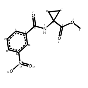 COC(=O)C1(NC(=O)c2cccc([N+](=O)[O-])c2)CC1